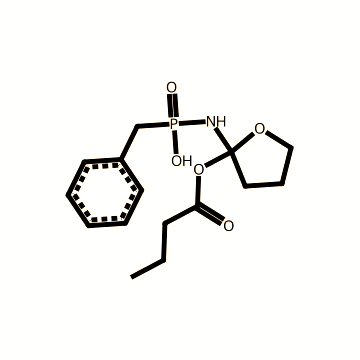 CCCC(=O)OC1(NP(=O)(O)Cc2ccccc2)CCCO1